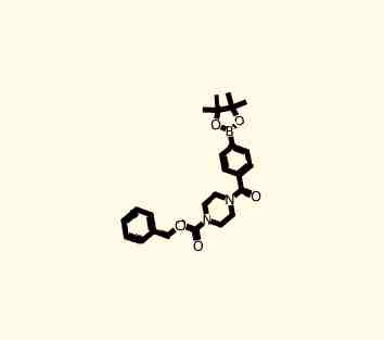 CC1(C)OB(c2ccc(C(=O)N3CCN(C(=O)OCc4ccccc4)CC3)cc2)OC1(C)C